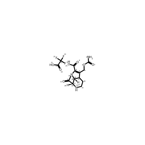 NC(=O)OCC1=C(C(=O)O)N2C(=O)[C@H]3NCCC1[C@H]32.O=C(O)C(F)(F)F